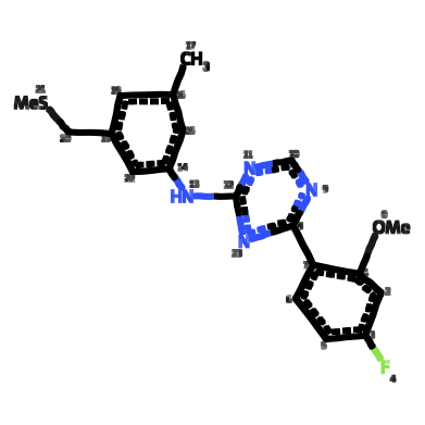 COc1cc(F)ccc1-c1ncnc(Nc2cc(C)cc(CSC)c2)n1